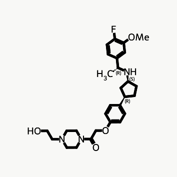 COc1cc([C@@H](C)N[C@H]2CC[C@@H](c3ccc(OCC(=O)N4CCN(CCO)CC4)cc3)C2)ccc1F